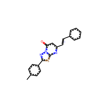 Cc1ccc(-c2nn3c(=O)cc(/C=C/c4ccccc4)nc3s2)cc1